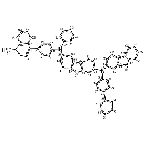 CC1CC=C(c2ccc(N(c3ccccc3)c3ccc4sc5cc(N(c6ccc(-c7ccccc7)cc6)c6ccc7c(c6)sc6ccccc67)ccc5c4c3)cc2)c2ccccc21